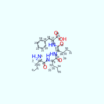 CC[C@H](C)[C@H](N)C(=O)N[C@H](C(=O)N[C@H](C(=O)N[C@@H](Cc1ccccc1)C(=O)O)[C@@H](C)CC)[C@@H](C)CC